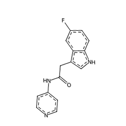 O=C(Cc1c[nH]c2ccc(F)cc12)Nc1ccncc1